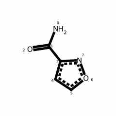 NC(=O)c1ccon1